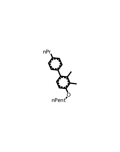 CCCCCOc1ccc(-c2ccc(CCC)cc2)c(C)c1C